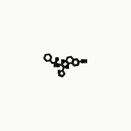 O=C(CC1CCCCC1)Nc1nc2c(nc1C1CC=CS1)-c1ccc(O)cc1CC2